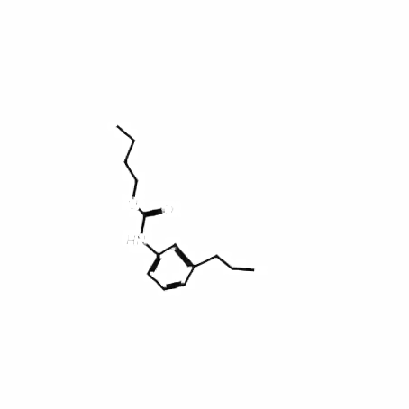 [CH2]CCc1cccc(NC(=O)OCCCC)c1